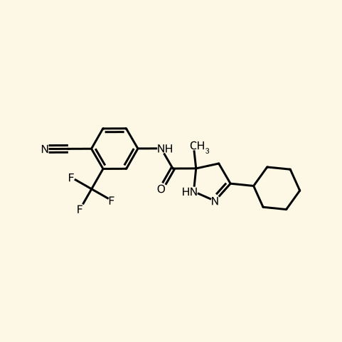 CC1(C(=O)Nc2ccc(C#N)c(C(F)(F)F)c2)CC(C2CCCCC2)=NN1